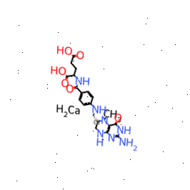 CN1c2c(nc(N)[nH]c2=O)NC[C@@H]1CNc1ccc(C(=O)NC(CCC(=O)O)C(=O)O)cc1.[CaH2]